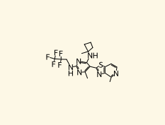 Cc1nc(NCC(F)(F)C(F)(F)F)nc(NC2(C)CCC2)c1-c1nc2c(C)nccc2s1